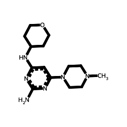 CN1CCN(c2cc(NC3CCOCC3)nc(N)n2)CC1